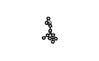 c1ccc(-c2ccc(N(c3ccc(-c4ccc5oc6c(-c7ccccc7)cccc6c5c4)cc3)c3cccc4c3-c3ccccc3C4(c3ccccc3)c3ccccc3)cc2)cc1